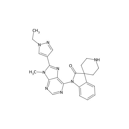 CCn1cc(-c2nc3c(N4C(=O)C5(CCNCC5)c5ccccc54)ncnc3n2C)cn1